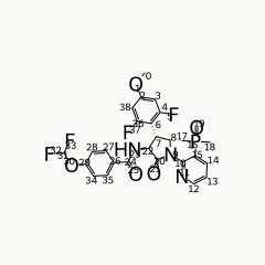 COc1cc(F)c([C@@H]2CN(c3ncccc3P(C)(C)=O)C(=O)[C@H]2NC(=O)c2ccc(OC(F)F)cc2)c(F)c1